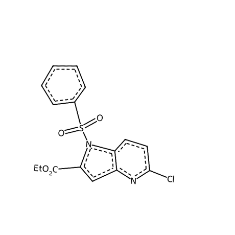 CCOC(=O)c1cc2nc(Cl)ccc2n1S(=O)(=O)c1ccccc1